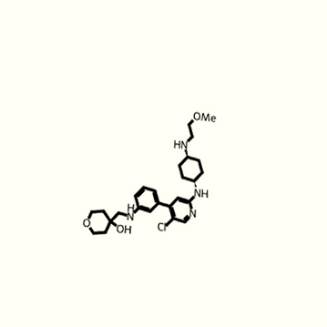 COCCN[C@H]1CC[C@H](Nc2cc(-c3cccc(NCC4(O)CCOCC4)c3)c(Cl)cn2)CC1